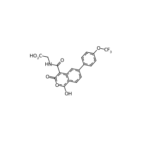 O=C(O)CNC(=O)c1c(=O)oc(O)c2ccc(-c3ccc(OC(F)(F)F)cc3)cc12